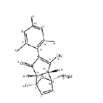 CCCCCCC[C@]12C=C[C@H](O1)[C@@H]1C(=O)C(c3c(C)cc(C)cc3C)=C(O)[C@@H]12